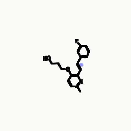 Cc1ccc(OCCCO)c(/C=C/c2cccc(F)c2)n1